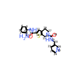 Nc1ccccc1NC(=O)c1cc2c(s1)CN(C(=O)NCc1cccnc1)CC2